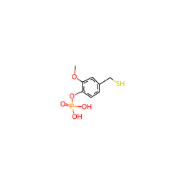 COc1cc(CS)ccc1OP(=O)(O)O